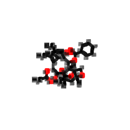 CC(=O)O[C@H]1C(=O)[C@]23C[C@H]2C[C@H]2OCC2(OC(C)=O)[C@H]3[C@H](OC(=O)c2ccccc2)[C@]2(O)C[C@H](C)C(C)=C1C2(C)C